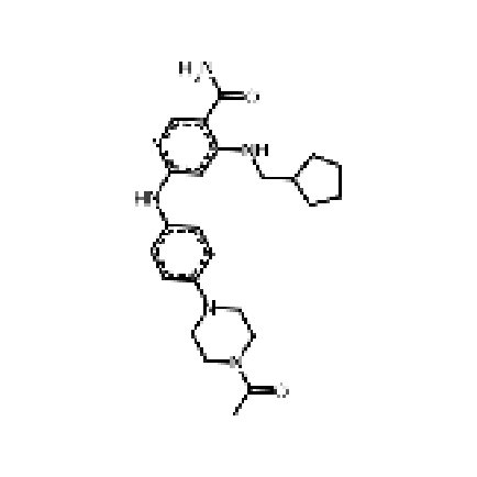 CC(=O)N1CCN(c2ccc(Nc3cc(NCC4CCCC4)c(C(N)=O)cn3)cc2)CC1